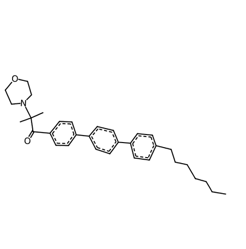 CCCCCCCc1ccc(-c2ccc(-c3ccc(C(=O)C(C)(C)N4CCOCC4)cc3)cc2)cc1